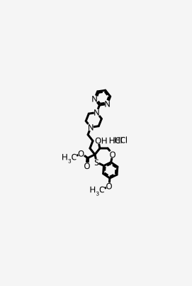 COC(=O)C1(CCCN2CCN(c3ncccn3)CC2)Sc2cc(OC)ccc2OCC1O.Cl.Cl